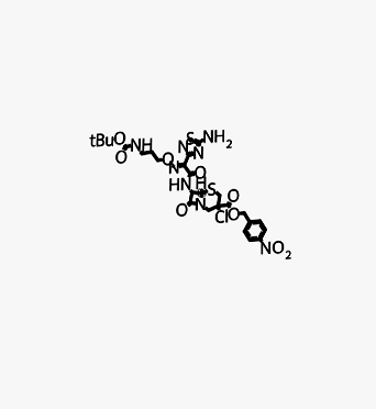 CC(C)(C)OC(=O)NCCCON=C(C(=O)NC1C(=O)N2CC(Cl)(C(=O)OCc3ccc([N+](=O)[O-])cc3)CS[C@H]12)c1nsc(N)n1